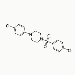 O=S(=O)(c1ccc(Cl)cc1)N1CCN(c2ccc(Cl)cc2)CC1